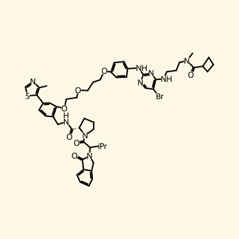 Cc1ncsc1-c1ccc(CNC(=O)[C@@H]2CCCN2C(=O)C(C(C)C)N2Cc3ccccc3C2=O)c(OCCOCCCOc2ccc(Nc3ncc(Br)c(NCCCN(C)C(=O)C4CCC4)n3)cc2)c1